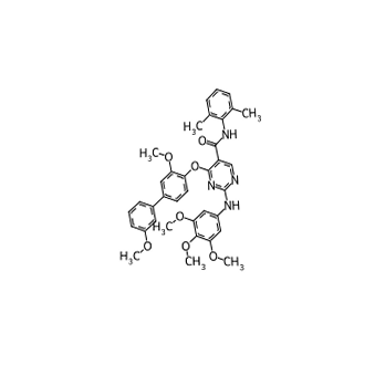 COc1cccc(-c2ccc(Oc3nc(Nc4cc(OC)c(OC)c(OC)c4)ncc3C(=O)Nc3c(C)cccc3C)c(OC)c2)c1